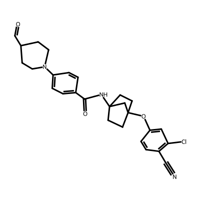 N#Cc1ccc(OC23CCC(NC(=O)c4ccc(N5CCC(C=O)CC5)cc4)(CC2)C3)cc1Cl